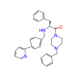 O=C([C@H](Cc1ccccc1)NCc1ccc(-c2ccccn2)cc1)N1CCN(Cc2ccccc2)CC1